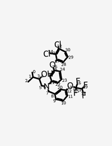 CC(C)C(O)CN(Cc1cccc(OC(F)(F)C(F)F)c1)c1cccc(Oc2cccc(Cl)c2Cl)c1